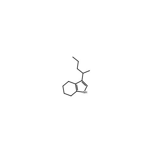 CCCC(C)c1c[nH]c2c1CCCC2